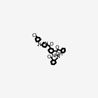 CN(c1ccc(Cl)cc1)c1ccc(C(=O)c2ccc(NC(=O)c3ccccc3C#N)c(C(O)C(=O)c3ccccc3)c2)nc1